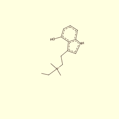 CC[N+](C)(C)CCc1c[nH]c2cccc(O)c12